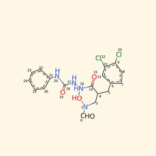 O=CN(O)CC(Cc1ccc(Cl)c(Cl)c1)C(=O)NNC(=O)Nc1ccccc1